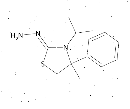 CC(C)N1C(=NN)SC(C)C1(C)c1ccccc1